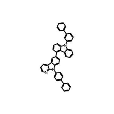 c1ccc(-c2ccc(-n3c4ccc(-c5cccc6c5c5ccccc5n6-c5cccc(-c6ccccc6)c5)cc4c4cccnc43)cc2)cc1